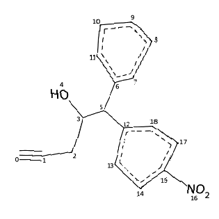 C#CCC(O)C(c1ccccc1)c1ccc([N+](=O)[O-])cc1